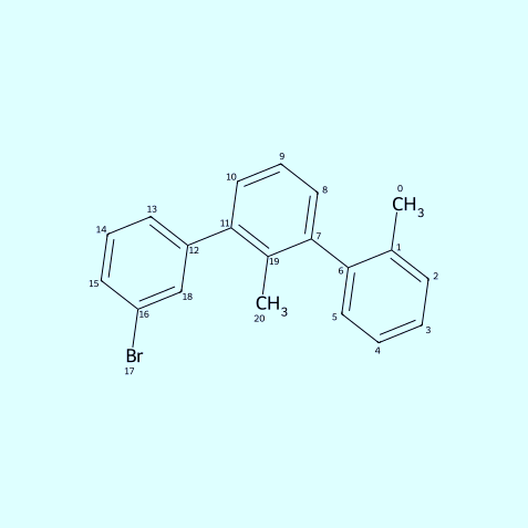 Cc1ccccc1-c1cccc(-c2cccc(Br)c2)c1C